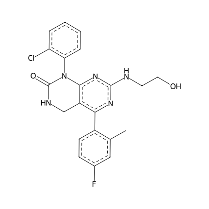 Cc1cc(F)ccc1-c1nc(NCCO)nc2c1CNC(=O)N2c1ccccc1Cl